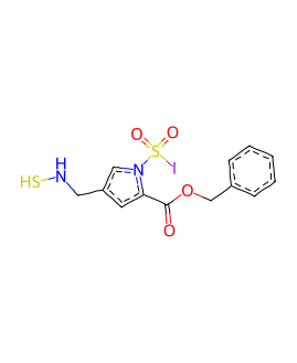 O=C(OCc1ccccc1)c1cc(CNS)cn1S(=O)(=O)I